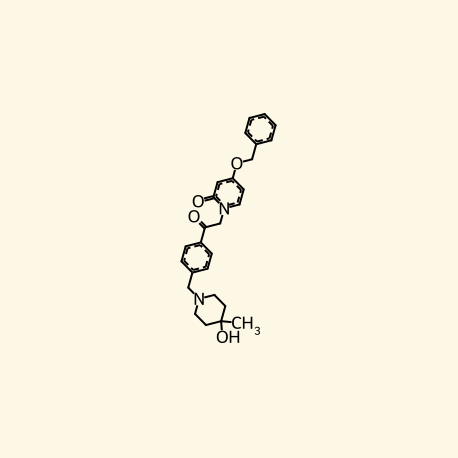 CC1(O)CCN(Cc2ccc(C(=O)Cn3ccc(OCc4ccccc4)cc3=O)cc2)CC1